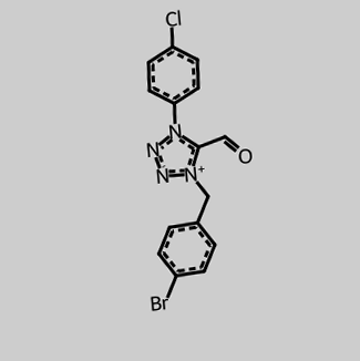 O=Cc1n(-c2ccc(Cl)cc2)nn[n+]1Cc1ccc(Br)cc1